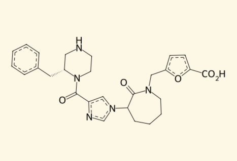 O=C(O)c1ccc(CN2CCCCC(n3cnc(C(=O)N4CCNC[C@H]4Cc4ccccc4)c3)C2=O)o1